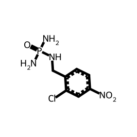 NP(N)(=O)NCc1ccc([N+](=O)[O-])cc1Cl